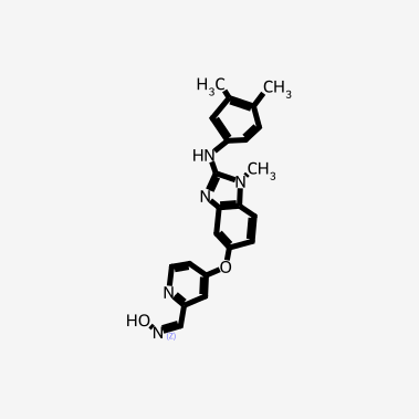 Cc1ccc(Nc2nc3cc(Oc4ccnc(/C=N\O)c4)ccc3n2C)cc1C